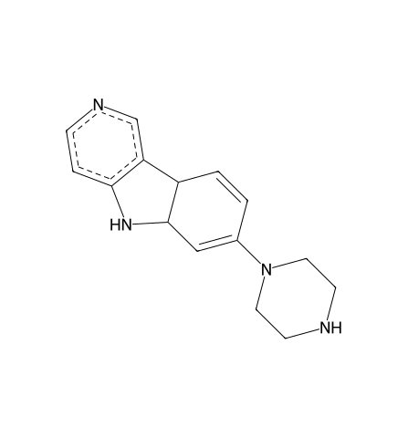 C1=CC2c3cnccc3NC2C=C1N1CCNCC1